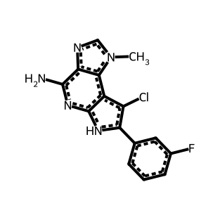 Cn1cnc2c(N)nc3[nH]c(-c4cccc(F)c4)c(Cl)c3c21